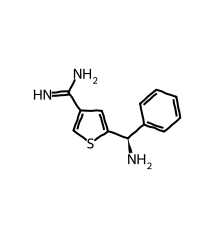 N=C(N)c1csc([C@H](N)c2ccccc2)c1